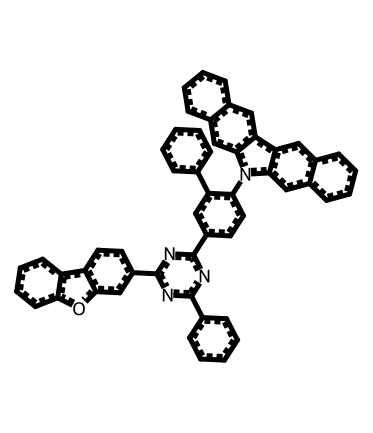 c1ccc(-c2nc(-c3ccc(-n4c5cc6ccccc6cc5c5cc6ccccc6cc54)c(-c4ccccc4)c3)nc(-c3ccc4c(c3)oc3ccccc34)n2)cc1